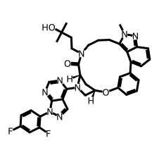 Cn1nc2cccc3c2c1CCCN(CCC(C)(C)O)C(=O)[C@@H]1C[C@@H](CN1c1ncnc2c1cnn2-c1ccc(F)cc1F)Oc1cccc-3c1